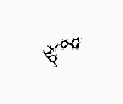 CCc1nc2cc(Cl)ccn2c1C(=O)NCc1ccc(-c2cccc(C)c2)cc1